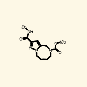 CCNC(=O)c1cc2n(n1)CCCCN(C(=O)OC(C)(C)C)C2